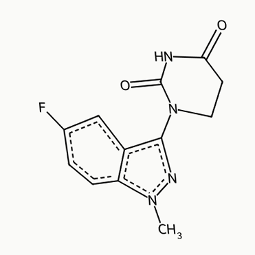 Cn1nc(N2CCC(=O)NC2=O)c2cc(F)ccc21